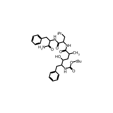 CC(C)CC(NC(=O)C(C)CC(O)C(Cc1ccccc1)NC(=O)OC(C)(C)C)C(=O)NC(Cc1ccccc1)C(N)=O